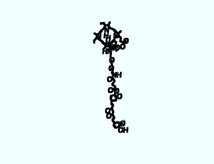 C=Cc1c(C)c2cc3nc(c(CC(=O)OC)c4[nH]c(cc5nc(cc1[nH]2)C(C)=C5CC)c(C)c4C(=O)NCCOCCOCCNC(=O)CCCC(=O)Oc1ccc(/C=C/C(=O)CC(=O)/C=C/c2ccc(O)c(OC)c2)cc1OC)C(CCC(=O)OC)C3C